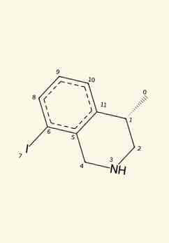 C[C@@H]1CNCc2c(I)cccc21